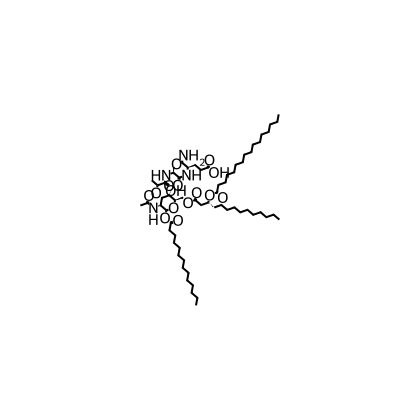 CCCCCCCCCCCCCCCC(=O)O[C@H](CCCCCCCCCCC)CC(=O)OC[C@H]1OC(OC(=O)CCCCCCCCCCCCC)[C@H](NC(C)=O)[C@H](OC(C)C(=O)N[C@@H](C)C(=O)N[C@H](CCC(=O)O)C(N)=O)[C@@H]1O